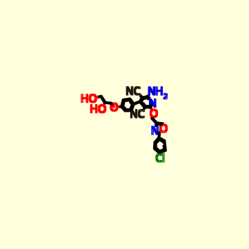 N#Cc1c(N)nc(OCc2coc(-c3ccc(Cl)cc3)n2)c(C#N)c1-c1ccc(OC[C@@H](O)CO)cc1